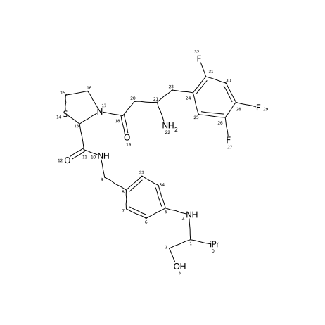 CC(C)C(CO)Nc1ccc(CNC(=O)C2SCCN2C(=O)CC(N)Cc2cc(F)c(F)cc2F)cc1